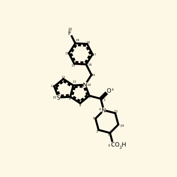 O=C(O)C1CCN(C(=O)c2cc3sccc3n2Cc2ccc(F)cc2)CC1